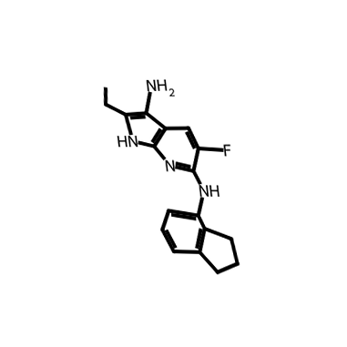 CCc1[nH]c2nc(Nc3cccc4c3CCC4)c(F)cc2c1N